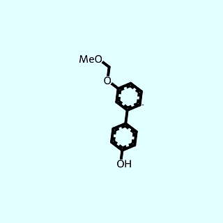 COCOc1cc[c]c(-c2ccc(O)cc2)c1